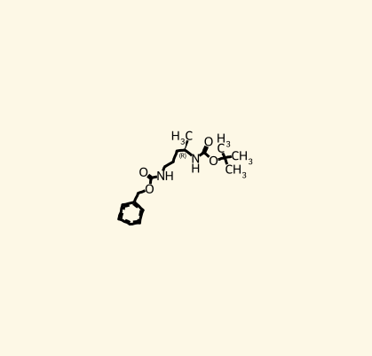 C[C@H](CCCNC(=O)OCc1ccccc1)NC(=O)OC(C)(C)C